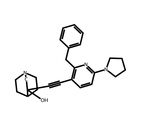 OC1(C#Cc2ccc(N3CCCC3)nc2Cc2ccccc2)CN2CCC1CC2